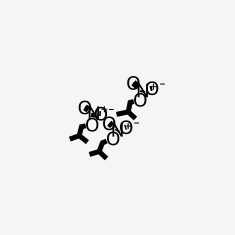 CC(C)CO[N+](=O)[O-].CC(C)CO[N+](=O)[O-].CC(C)CO[N+](=O)[O-]